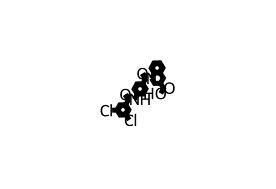 O=C(Nc1ccc(C(=O)N2CC(C(=O)O)Cc3ccccc32)cc1)c1cc(Cl)cc(Cl)c1